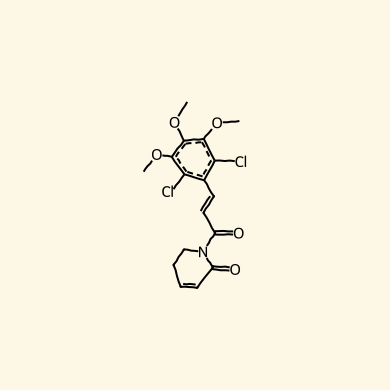 COc1c(Cl)c(/C=C/C(=O)N2CCC=CC2=O)c(Cl)c(OC)c1OC